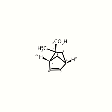 C[C@]1(C(=O)O)C[C@@H]2C=C[C@H]1C2